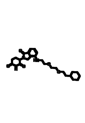 O=C1CCC(N2Cc3c(NCCOCCOCCC4CCCCC4)cccc3C2=O)C(=O)N1